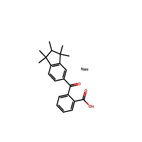 CC1C(C)(C)c2ccc(C(=O)c3ccccc3C(=O)O)cc2C1(C)C.[NaH]